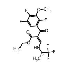 CCOC(=O)C(=CN[C@@H](C)C(F)(F)F)C(=O)c1cc(F)c(F)c(OC)c1F